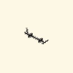 CCCCC(CC)CNC(=O)C(=O)NCCCCCCNC(=O)C(=O)NCC(CC)CCCC